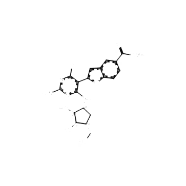 COC(=O)c1ccc2oc(-c3c(Cl)nc(N)nc3N[C@@H]3C[C@H](CO)[C@@H](O)[C@H]3O)cc2c1